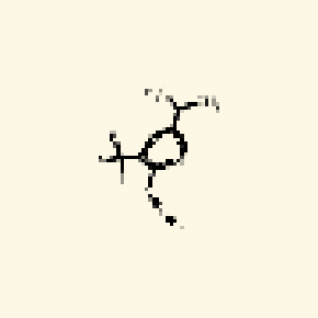 CC(C)c1cnc(N=C=S)c(C(F)(F)F)c1